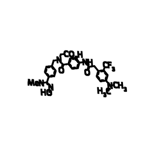 CN/C(=N\O)c1ccc(CN(CC(=O)O)C(=O)c2ccc(NC(=O)Cc3ccc(N(C)C)cc3C(F)(F)F)cc2)cc1